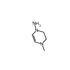 CN1C=CN(N)CC1